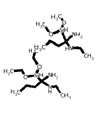 CCCC(N)(NCC)[SiH](OC)OC.CCCC(N)(NCC)[SiH](OCC)OCC